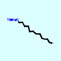 [CH2]CCCCCCCCCCCN=[N+]=[N-]